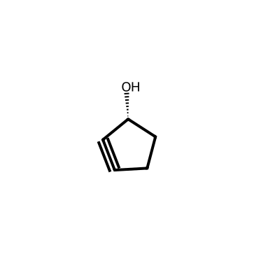 O[C@H]1C#CCC1